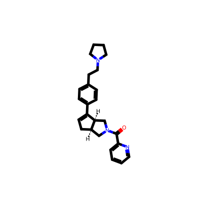 O=C(c1ccccn1)N1C[C@H]2CC=C(c3ccc(CCN4CCCC4)cc3)[C@H]2C1